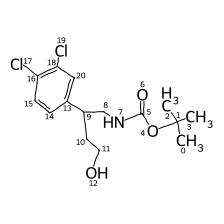 CC(C)(C)OC(=O)NCC(CCO)c1ccc(Cl)c(Cl)c1